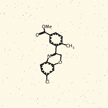 COC(=O)c1ccc(C)c(C2=Nc3ccc(Cl)cc3OC2)c1